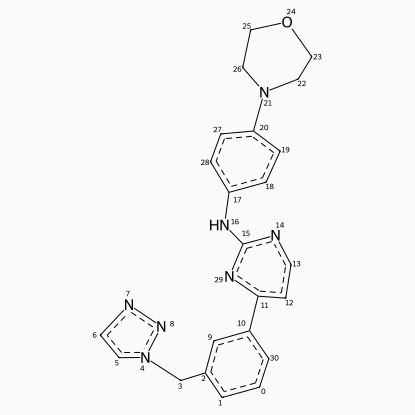 c1cc(Cn2ccnn2)cc(-c2ccnc(Nc3ccc(N4CCOCC4)cc3)n2)c1